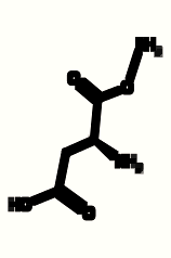 BOC(=O)[C@@H](N)CC(=O)O